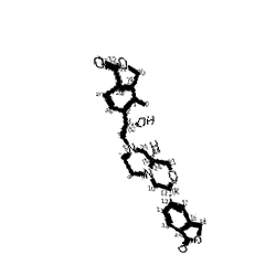 Cc1c([C@H](O)CN2CCN3C[C@@H](c4ccc5c(c4)COC5=O)OC[C@@H]3C2)ccc2c1COC2=O